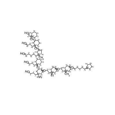 CCC[N+]1(CCCO)CCCCC1.CC[N+]1(CCCO)CCCCC1.CC[N+]1(CCO)CCCCC1.C[N+]1(CCCCCO)CCCC1.C[N+]1(CCCO)CCCCC1.C[N+]1(CCO)CCCCC1.C[N+]1(CO)CCCCC1.OCCCCCN1CCCC1